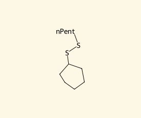 CCCCCSSC1CCCCC1